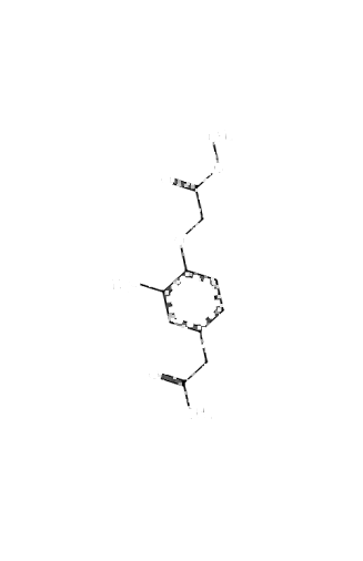 COC(=O)COc1ccc(CC(C)=O)cc1C